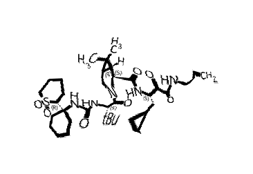 C=CCNC(=O)C(=O)[C@H](CC1CC1)NC(=O)[C@@H]1[C@@H]2C(CN1C(=O)[C@@H](NC(=O)NC1([C@H]3CCCCS3(=O)=O)CCCCC1)C(C)(C)C)C2(C)C